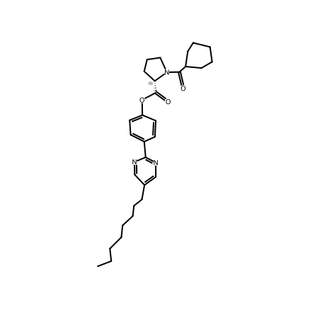 CCCCCCCCc1cnc(-c2ccc(OC(=O)[C@@H]3CCCN3C(=O)C3CCCCC3)cc2)nc1